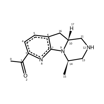 CC(=O)c1ccc2c(n1)N1[C@@H](CNC[C@H]1C)C2